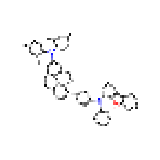 Cc1ccc(N(c2cc3ccc4ccc(-c5ccc(N(c6ccccc6)c6cccc7c6oc6ccccc67)cc5)c5ccc(c2)c3c45)c2ccc(C)cc2C)c(C)c1